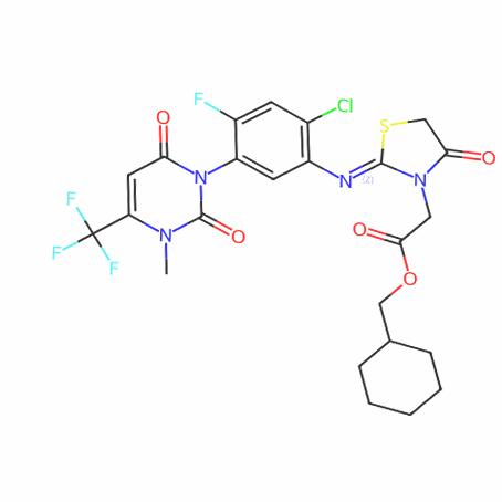 Cn1c(C(F)(F)F)cc(=O)n(-c2cc(/N=C3\SCC(=O)N3CC(=O)OCC3CCCCC3)c(Cl)cc2F)c1=O